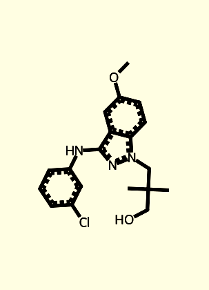 COc1ccc2c(c1)c(Nc1cccc(Cl)c1)nn2CC(C)(C)CO